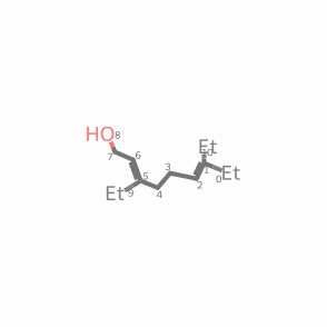 CCC(=CCCC(=CCO)CC)CC